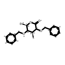 CC[C@H]1OC(=O)C(OCc2ccccc2)[C@@H](C)C1OCc1ccccc1